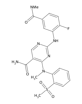 CNC(=O)c1ccc(F)c(Nc2ncc(C(N)=O)c(N(C)c3ccccc3S(C)(=O)=O)n2)c1